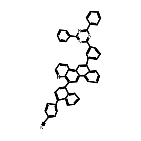 N#Cc1ccc(-c2ccc(-c3cc4c5ccccc5c(-c5cccc(-c6nc(-c7ccccc7)nc(-c7ccccc7)n6)c5)cc4c4cccnc34)c3ccccc23)cc1